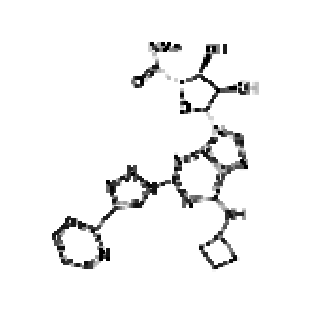 CNC(=O)[C@H]1O[C@@H](n2cnc3c(NC4CCC4)nc(-n4cc(-c5ccccn5)nn4)nc32)[C@H](O)[C@@H]1O